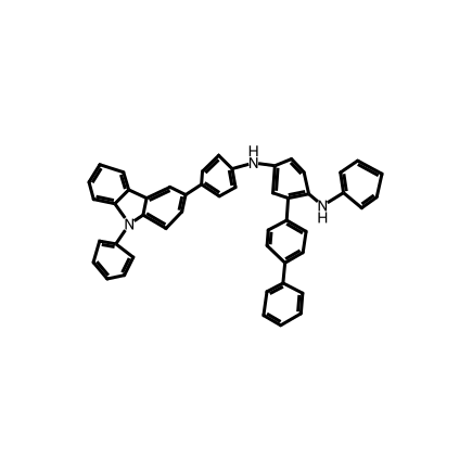 c1ccc(Nc2ccc(Nc3ccc(-c4ccc5c(c4)c4ccccc4n5-c4ccccc4)cc3)cc2-c2ccc(-c3ccccc3)cc2)cc1